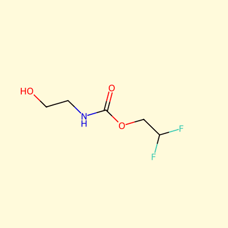 O=C(NCCO)OCC(F)F